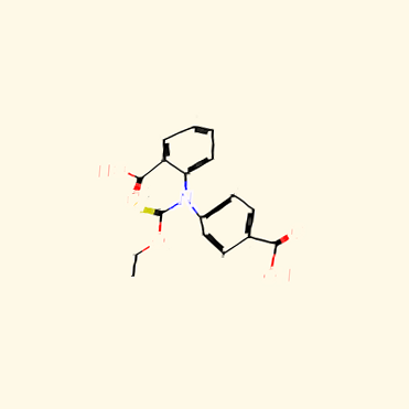 CCOC(=S)N(c1ccc(C(=O)O)cc1)c1ccccc1C(=O)O